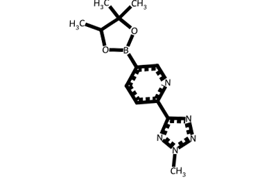 CC1OB(c2ccc(-c3nnn(C)n3)nc2)OC1(C)C